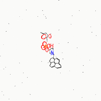 COC1CC(C)OC1COP(=O)(O)OC1CCN(Cc2ccc3ccc4cccc5ccc2c3c45)C1